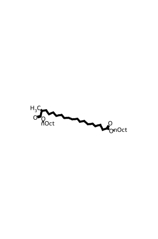 CCCCCCCCOC(=O)CCCCCCCCCCCCCCCCC(C)C(=O)OCCCCCCCC